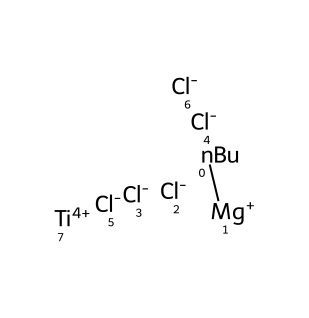 CCC[CH2][Mg+].[Cl-].[Cl-].[Cl-].[Cl-].[Cl-].[Ti+4]